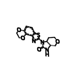 O=C1NC2COCCC2N1c1nc2c3c(ccc2s1)OCCO3